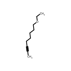 CC#CCCCCCO[CH]C